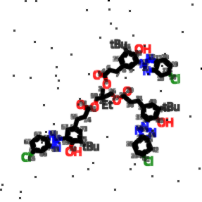 CCC(COC(=O)CCc1cc(-n2nc3c(n2)CC(Cl)C=C3)c(O)c(C(C)(C)C)c1)(COC(=O)CCc1cc(-n2nc3ccc(Cl)cc3n2)c(O)c(C(C)(C)C)c1)COC(=O)CCc1cc(-n2nc3ccc(Cl)cc3n2)c(O)c(C(C)(C)C)c1